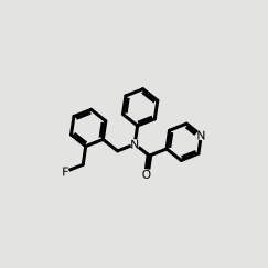 O=C(c1ccncc1)N(Cc1ccccc1CF)c1ccccc1